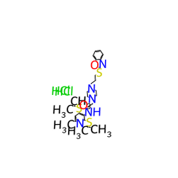 Cc1cc(SC(C)C)c(NC(=O)CN2CCN(CCCSc3nc4ccccc4o3)CC2)c(SC(C)C)n1.Cl.Cl